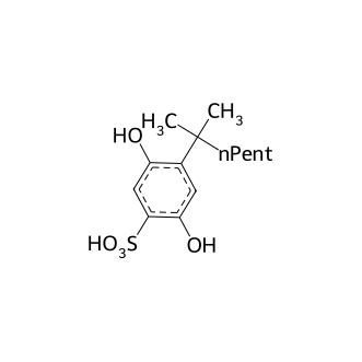 CCCCCC(C)(C)c1cc(O)c(S(=O)(=O)O)cc1O